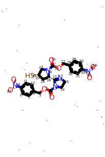 O=C(OCc1ccc([N+](=O)[O-])cc1)N1CCN=C1[C@@H]1C[C@H](S)CN1C(=O)OCc1ccc([N+](=O)[O-])cc1